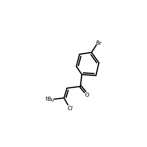 CC(C)(C)/C(Cl)=C/C(=O)c1ccc(Br)cc1